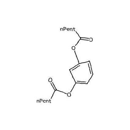 CCCCCC(=O)Oc1cccc(OC(=O)CCCCC)c1